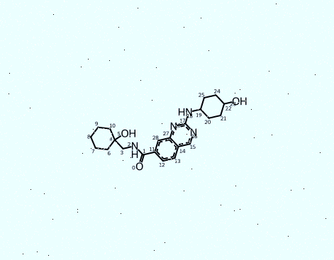 O=C(NCC1(O)CCCCC1)c1ccc2cnc(NC3CCC(O)CC3)nc2c1